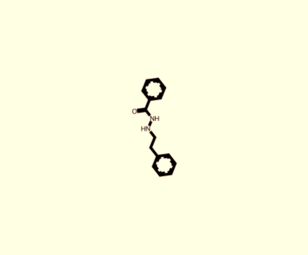 O=C(NNCCc1ccccc1)c1ccccc1